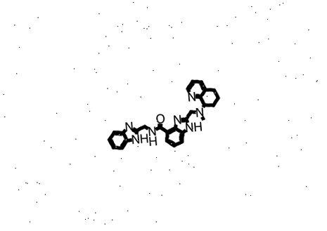 CN(Cc1nc2c(C(=O)NCc3nc4ccccc4[nH]3)cccc2[nH]1)C1CCCc2cccnc21